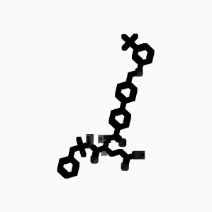 CC(C)(Cc1ccccc1)NC(=O)[C@H](CCC(=O)O)NC(=O)c1ccc(-c2ccc(COc3cccc(C(C)(C)C)c3)cc2)cc1